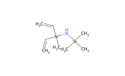 C=C[Si](C)(C=C)N[Si](C)(C)C